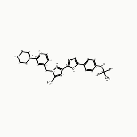 Cc1nc(-c2ncc(-c3ccc(OC(C)(F)F)cc3)o2)nn1Cc1ccnc(N2CCOCC2)c1